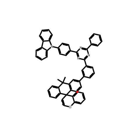 CC1(C)c2ccccc2C2(c3ccccc3Oc3ccccc32)c2ccc(-c3cccc(-c4nc(-c5ccccc5)nc(-c5ccc(-n6c7ccccc7c7ccccc76)cc5)n4)c3)cc21